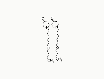 CCCCOCCCCCCN1CCC(=O)CC1.CCCCOCCCCCCN1CCC(=O)CC1